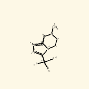 CN1CCn2c(nnc2C(F)(F)F)C1